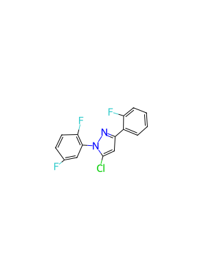 Fc1ccc(F)c(-n2nc(-c3ccccc3F)cc2Cl)c1